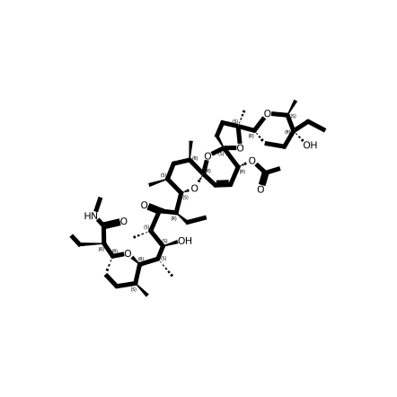 CC[C@@H](C(=O)[C@@H](C)[C@@H](O)[C@H](C)[C@@H]1O[C@@H]([C@@H](CC)C(=O)NC)CC[C@@H]1C)[C@H]1O[C@]2(C=C[C@@H](OC(C)=O)[C@]3(CC[C@@](C)([C@H]4CC[C@](O)(CC)[C@H](C)O4)O3)O2)[C@H](C)C[C@@H]1C